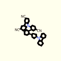 N#Cc1ccc(-n2c3ccc(C#N)cc3c3cc(C#N)ccc32)c(-c2ccccc2-c2ccc(-n3c4ccccc4c4ccccc43)cc2)c1